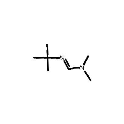 CN(C)/C=N/C(C)(C)C